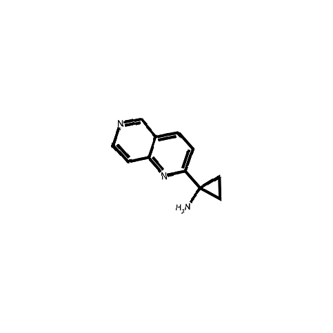 NC1(c2ccc3cnccc3n2)CC1